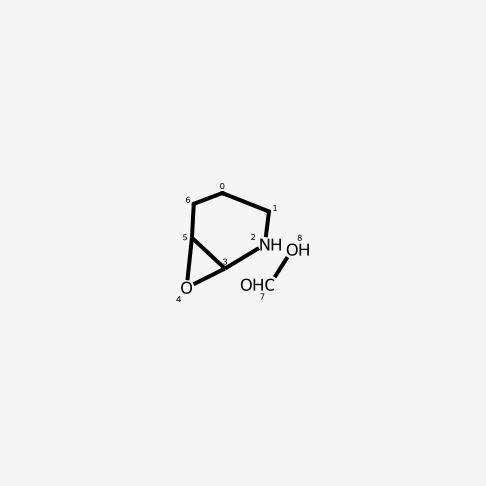 C1CNC2OC2C1.O=CO